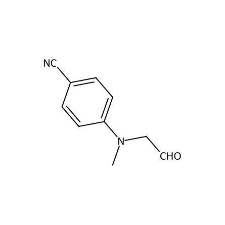 CN(CC=O)c1ccc(C#N)cc1